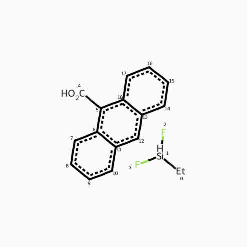 CC[SiH](F)F.O=C(O)c1c2ccccc2cc2ccccc12